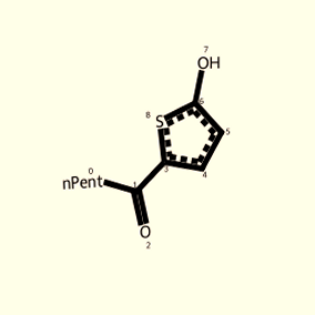 CCCCCC(=O)c1ccc(O)s1